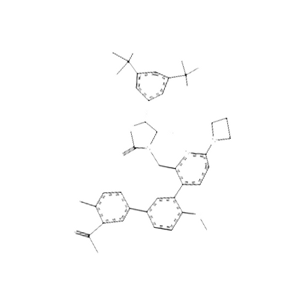 COc1ccc(-c2ccc(O)c(C(C)=O)c2)cc1-c1ccc(N2CCC2)nc1CN1C(=O)O[C@H](c2cc(C(F)(F)F)cc(C(F)(F)F)c2)[C@@H]1C